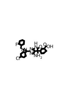 CC1(c2cccc(C(=O)O)c2)C(=O)Nc2nc(-c3nn(Cc4ccccc4F)c4cc(Cl)ccc34)nc(N)c21